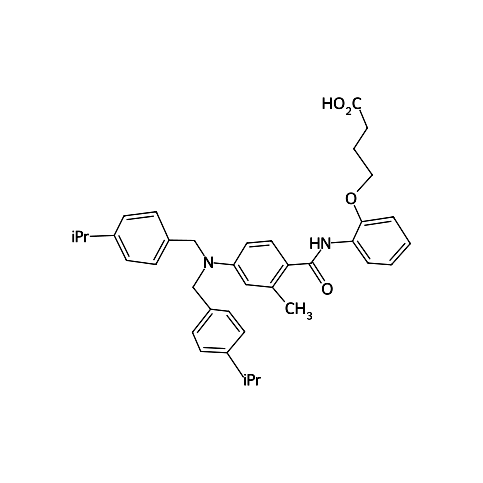 Cc1cc(N(Cc2ccc(C(C)C)cc2)Cc2ccc(C(C)C)cc2)ccc1C(=O)Nc1ccccc1OCCCC(=O)O